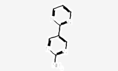 Nc1ncc(-c2ncccn2)cn1